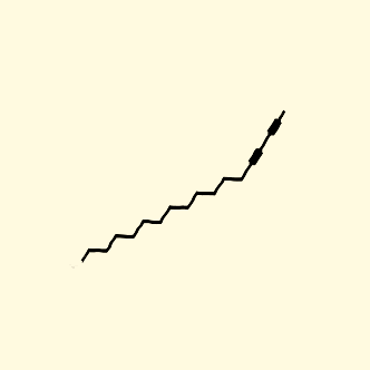 CCCCCCCCCCCCCCCCCCCCCCC#CC#CC(=O)O